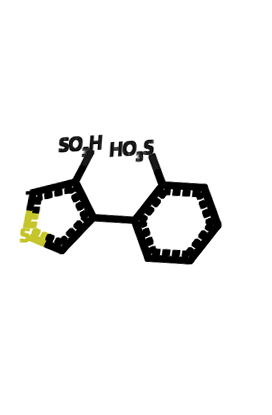 O=S(=O)(O)c1[c]scc1-c1ccccc1S(=O)(=O)O